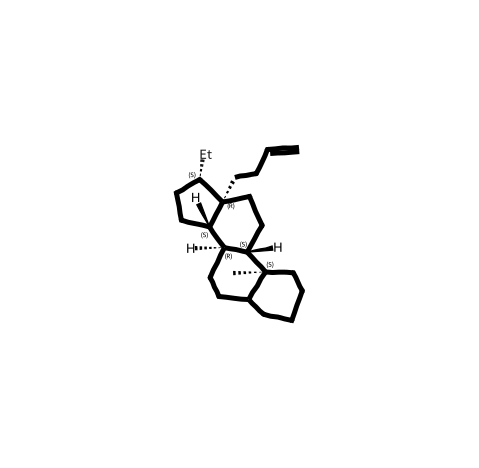 C=CCC[C@]12CC[C@H]3[C@@H](CCC4CCCC[C@@]43C)[C@@H]1CC[C@@H]2CC